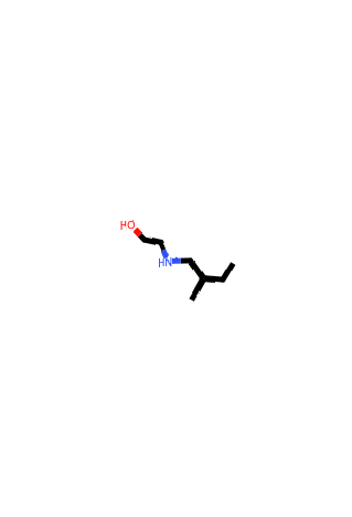 CCC(C)CNCCO